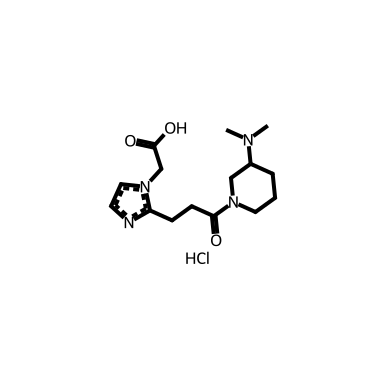 CN(C)C1CCCN(C(=O)CCc2nccn2CC(=O)O)C1.Cl